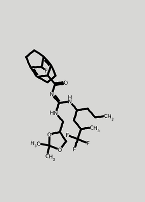 CCCC(CC(C)C(F)(F)F)N/C(=N\C(=O)C1C2=C3CCC(=C1CC2)C3F)NCC1COC(C)(C)O1